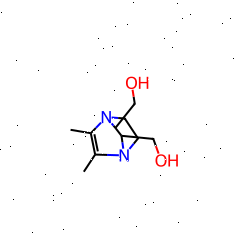 CC1=C(C)N2CCN1C(CO)C2CO